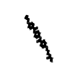 C=CCOc1ccc(C(=O)Oc2ccc(OC(=O)c3ccc(OCCCOC(=O)C=C)cc3)cc2)cc1